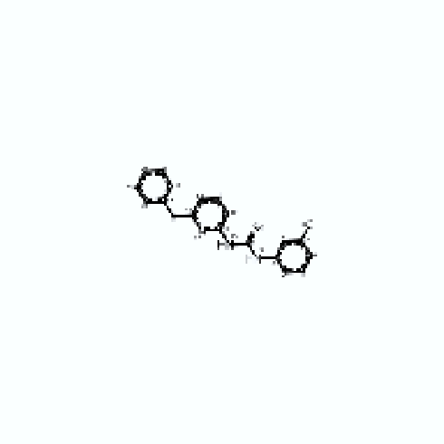 S=C(Nc1cccc(Cl)c1)Nc1cccc(Cc2ccccc2)n1